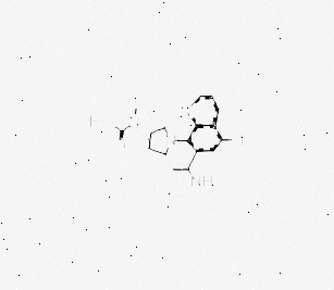 CC(N)c1cc(Cl)c2cccnc2c1N1CC[C@H](N(C)C(=O)O)C1